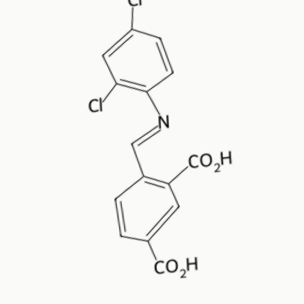 O=C(O)c1ccc(C=Nc2ccc(Cl)cc2Cl)c(C(=O)O)c1